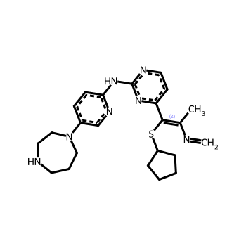 C=N/C(C)=C(\SC1CCCC1)c1ccnc(Nc2ccc(N3CCCNCC3)cn2)n1